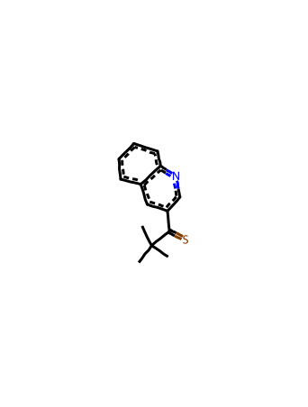 CC(C)(C)C(=S)c1cnc2ccccc2c1